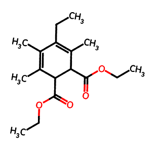 CCOC(=O)C1C(C)=C(C)C(CC)=C(C)C1C(=O)OCC